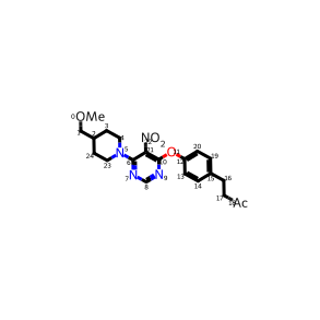 COCC1CCN(c2ncnc(Oc3ccc(CCC(C)=O)cc3)c2[N+](=O)[O-])CC1